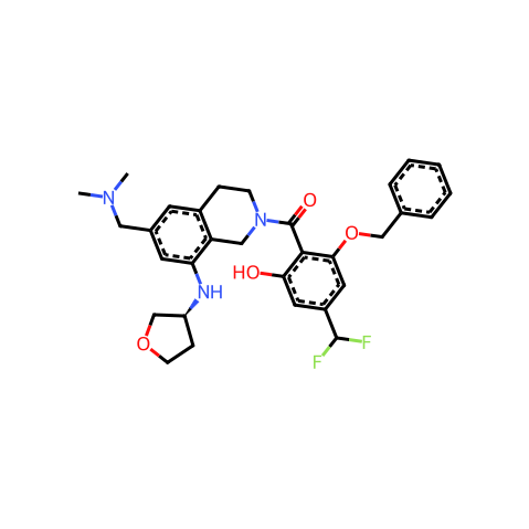 CN(C)Cc1cc2c(c(N[C@H]3CCOC3)c1)CN(C(=O)c1c(O)cc(C(F)F)cc1OCc1ccccc1)CC2